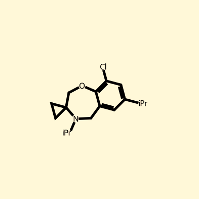 CC(C)c1cc(Cl)c2c(c1)CN(C(C)C)C1(CC1)CO2